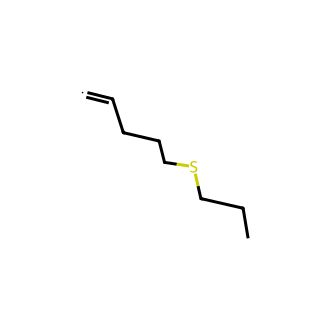 [CH]=CCCCSCCC